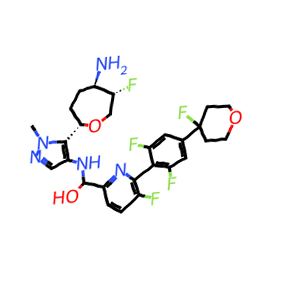 Cn1ncc(NC(O)c2ccc(F)c(-c3c(F)cc(C4(F)CCOCC4)cc3F)n2)c1[C@@H]1CC[C@@H](N)[C@H](F)CO1